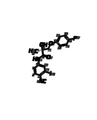 [C-]#[N+]c1ccc(NC(=O)[C@@](C)(O)COc2ccc(F)cc2)cc1I